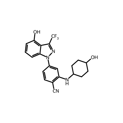 N#Cc1ccc(-n2nc(C(F)(F)F)c3c(O)cccc32)cc1NC1CCC(O)CC1